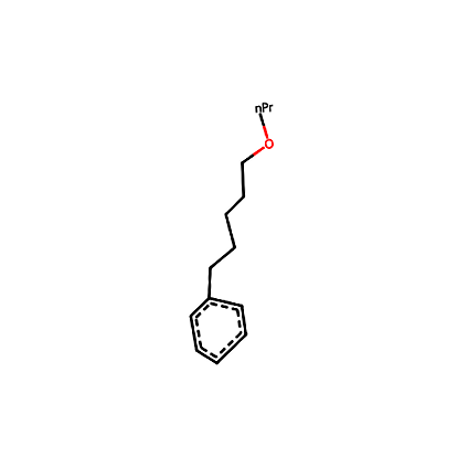 [CH2]CCOCCCCCc1ccccc1